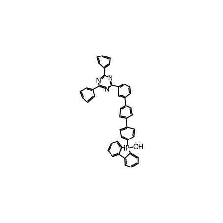 O[PH]1(c2ccc(-c3ccc(-c4cccc(-c5nc(-c6ccccc6)nc(-c6ccccc6)n5)c4)cc3)cc2)c2ccccc2-c2ccccc21